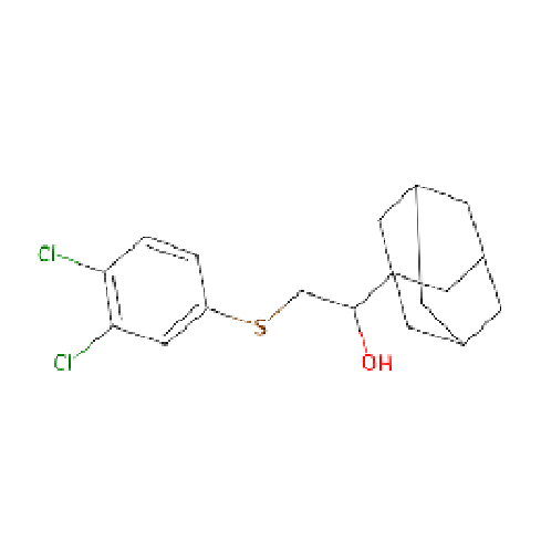 OC(CSc1ccc(Cl)c(Cl)c1)C12CC3CC(CC(C3)C1)C2